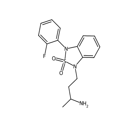 CC(N)CCN1c2ccccc2N(c2ccccc2F)S1(=O)=O